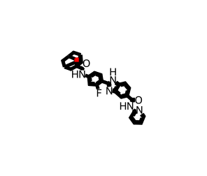 O=C(Nc1ccccn1)c1ccc2[nH]c(-c3ccc(NC(=O)C45CC6CC(CC(C6)C4)C5)cc3F)nc2c1